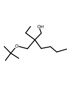 CCCCC(CC)(CO)COC(C)(C)C